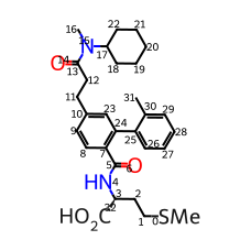 CSCC[C@H](NC(=O)c1ccc(CCC(=O)N(C)C2CCCCC2)cc1-c1ccccc1C)C(=O)O